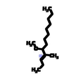 CC/C=C(\C)C(CCCCCCCC)OC